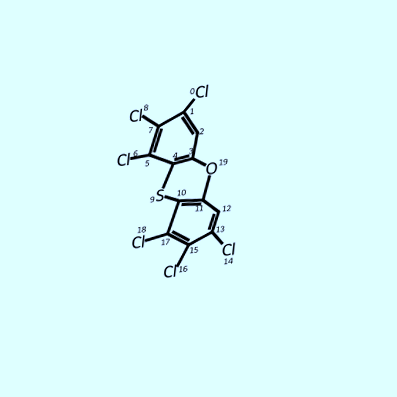 Clc1cc2c(c(Cl)c1Cl)Sc1c(cc(Cl)c(Cl)c1Cl)O2